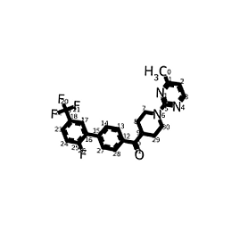 Cc1ccnc(N2CCC(C(=O)c3ccc(-c4cc(C(F)(F)F)ccc4F)cc3)CC2)n1